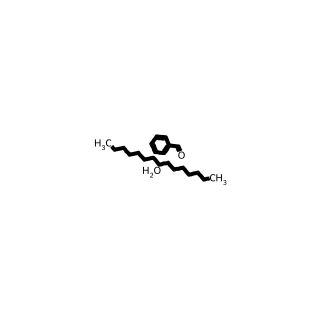 CCCCCCCCCCCCCCC.O.O=Cc1ccccc1